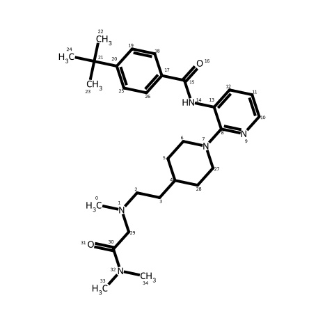 CN(CCC1CCN(c2ncccc2NC(=O)c2ccc(C(C)(C)C)cc2)CC1)CC(=O)N(C)C